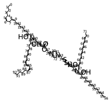 CCCCC/C=C\C/C=C\CCCCCC[C@@H](O)CN(CCCCC(=O)OCCN1CCN(CCSSCCCCN(CC(O)CCCCCCCCCCCC)CC(O)CCCCCCCCCCCC)CC1)C[C@H](O)CCCCCC/C=C\C/C=C\CCCCC